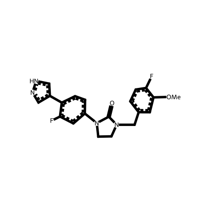 COc1cc(CN2CCN(c3ccc(-c4cn[nH]c4)c(F)c3)C2=O)ccc1F